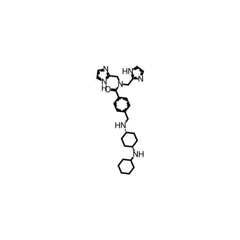 O=C(c1ccc(CN[C@H]2CC[C@H](NC3CCCCC3)CC2)cc1)N(Cc1ncc[nH]1)Cc1ncc[nH]1